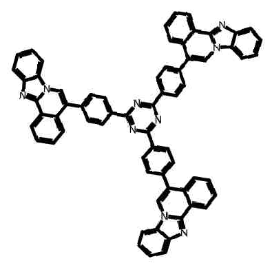 c1ccc2c(c1)nc1c3ccccc3c(-c3ccc(-c4nc(-c5ccc(-c6cn7c8ccccc8nc7c7ccccc67)cc5)nc(-c5ccc(-c6cn7c8ccccc8nc7c7ccccc67)cc5)n4)cc3)cn21